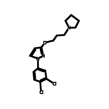 Clc1ccc(-n2ccc(OCCCN3CCCC3)n2)cc1Cl